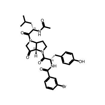 CC(=O)N[C@@H](CC(C)C)C(=O)N1CC(=O)[C@@H]2C1CCN2C(=O)[C@H](Cc1ccc(O)cc1)NC(=O)c1cccc(Br)c1